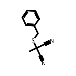 CC(C#N)(C#N)SCc1ccccc1